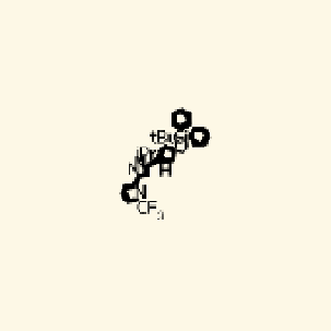 CC(C)n1nc(-c2cccc(C(F)(F)F)n2)cc1C1C2CC(O[Si](c3ccccc3)(c3ccccc3)C(C)(C)C)C[C@H]21